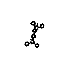 c1ccc(-c2cc(-c3ccccc3)nc(-c3ccc(-c4ccc5c(c4)nc(-c4ccccc4)c4oc6ccccc6c45)cc3)n2)cc1